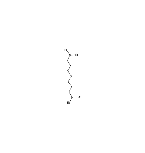 CCN(CC)CCSSSCCN(CC)CC